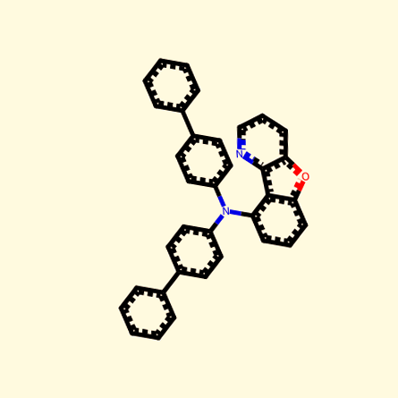 c1ccc(-c2ccc(N(c3ccc(-c4ccccc4)cc3)c3cccc4oc5cccnc5c34)cc2)cc1